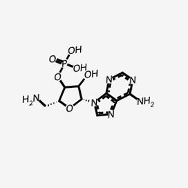 NC[C@H]1O[C@@H](n2cnc3c(N)ncnc32)C(O)C1OP(=O)(O)O